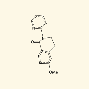 COc1ccc2c(c1)CCN(c1ncccn1)C2=O